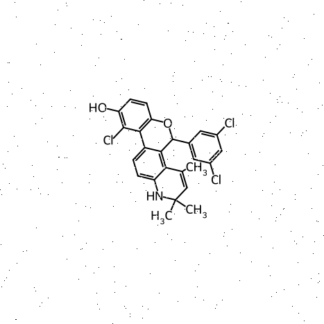 CC1=CC(C)(C)Nc2ccc3c(c21)C(c1cc(Cl)cc(Cl)c1)Oc1ccc(O)c(Cl)c1-3